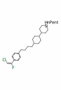 CCCCC[SiH]1CCC(C2CCC(CCCCc3ccc(/C(F)=C\Cl)cc3)CC2)CC1